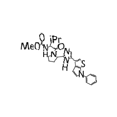 COC(=O)N[C@H](C(=O)N1CCCC1c1ncc(-c2csc3c2ccn3-c2ccccc2)[nH]1)C(C)C